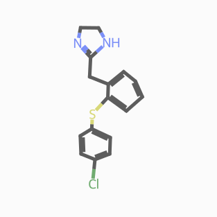 Clc1ccc(Sc2ccccc2CC2=NCCN2)cc1